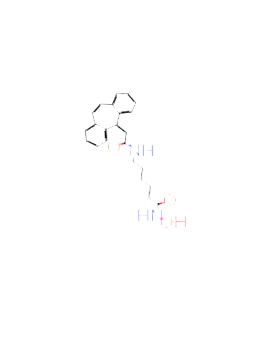 O=C(C=C1c2ccccc2C=Cc2ccccc21)NCCCCCC(=O)NO